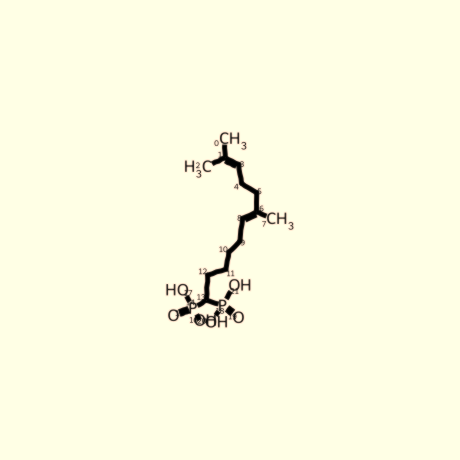 CC(C)=CCCC(C)=CCCCCC(P(=O)(O)O)P(=O)(O)O